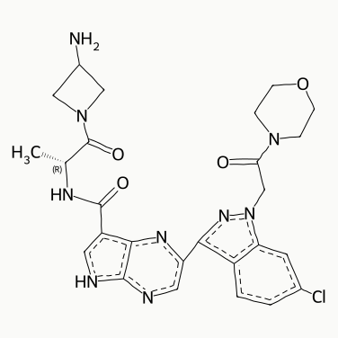 C[C@@H](NC(=O)c1c[nH]c2ncc(-c3nn(CC(=O)N4CCOCC4)c4cc(Cl)ccc34)nc12)C(=O)N1CC(N)C1